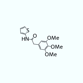 COc1cc(CC(=O)Nc2cccs2)cc(OC)c1OC